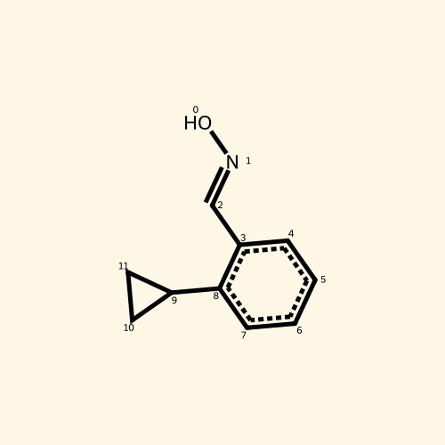 ON=Cc1ccccc1C1CC1